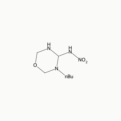 CCCCN1COCNC1N[N+](=O)[O-]